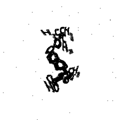 CC(C)(C)C1CCC(Oc2ccc3cc(C(C)(CCC(=O)O)[N+](=O)[O-])ccc3c2)CC1